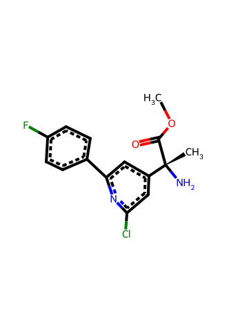 COC(=O)[C@](C)(N)c1cc(Cl)nc(-c2ccc(F)cc2)c1